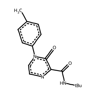 Cc1ccc(-n2ccnc(C(=O)NC(C)(C)C)c2=O)cc1